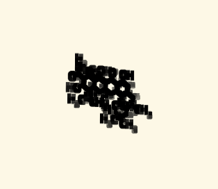 CO[C@@]12C(=O)C(C(N)=O)=C(O)[C@@H](N(C)C)[C@@H]1C[C@@H]1Cc3c(c(O)cc(CN(C)CCC(C)(C)C)c3N(C)C)C(=O)C1=C2O